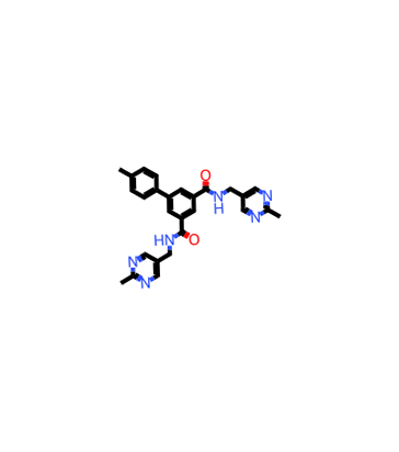 Cc1ccc(-c2cc(C(=O)NCc3cnc(C)nc3)cc(C(=O)NCc3cnc(C)nc3)c2)cc1